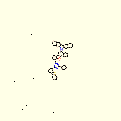 c1ccc(-c2nc(-c3cccc4c3oc3c5ccccc5c(-n5c6cc7ccccc7cc6c6cc7ccccc7cc65)cc43)nc(-c3cccc4c3sc3ccccc34)n2)cc1